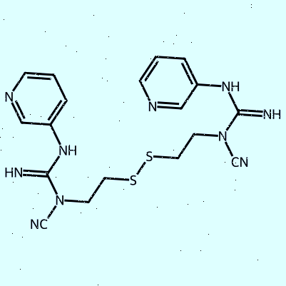 N#CN(CCSSCCN(C#N)C(=N)Nc1cccnc1)C(=N)Nc1cccnc1